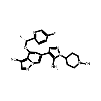 C[C@@H](Oc1cc(-c2cnn(C3CCN(C#N)CC3)c2N)cn2ncc(C#N)c12)c1ccc(F)cn1